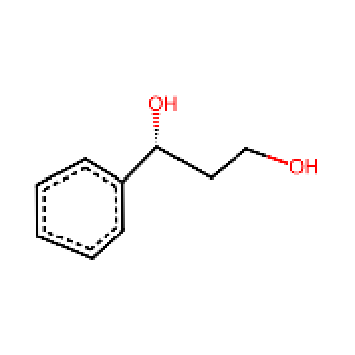 OCC[C@@H](O)c1ccccc1